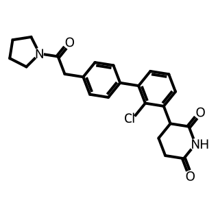 O=C1CCC(c2cccc(-c3ccc(CC(=O)N4CCCC4)cc3)c2Cl)C(=O)N1